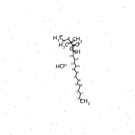 CCCCCCCCCCCCCCNOC(=O)C(C)(C)CCC.Cl